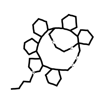 CCCCN1CCC2C(C1)C1CCCCC1CCCCC13CCCCCC(C4CCCCC4C4CCCCC24)C2CCCCC2C1CCCC3